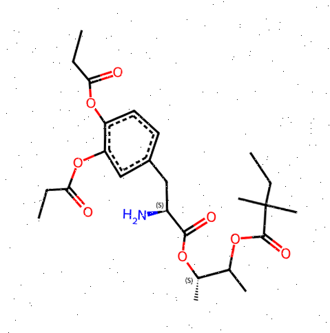 CCC(=O)Oc1ccc(C[C@H](N)C(=O)O[C@@H](C)C(C)OC(=O)C(C)(C)CC)cc1OC(=O)CC